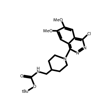 COc1cc2c(Cl)nnc(N3CCC(CNC(=O)OC(C)(C)C)CC3)c2cc1OC